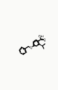 CC(C)c1cc(OCc2ccccc2)ccc1C(=O)O